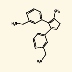 CC1=C(c2cccc(CN)c2)C(c2cccc(CN)c2)=CC1